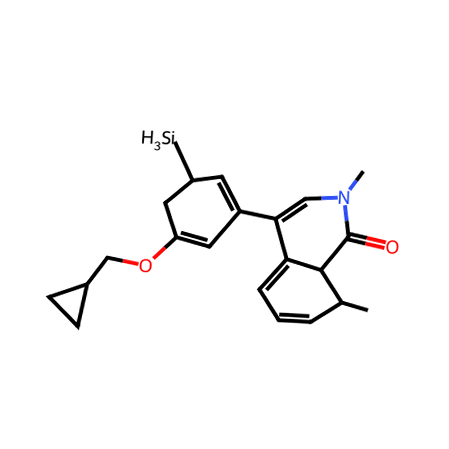 CC1C=CC=C2C(C3=CC([SiH3])CC(OCC4CC4)=C3)=CN(C)C(=O)C21